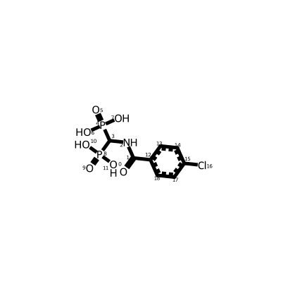 O=C(NC(P(=O)(O)O)P(=O)(O)O)c1ccc(Cl)cc1